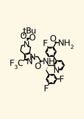 CC(C)(C)OC(=O)N1CCc2c(C(F)(F)F)nn(CC(=O)N[C@@H](Cc3cc(F)cc(F)c3)c3ncccc3-c3ccc(F)c(C(N)=O)c3)c2C1